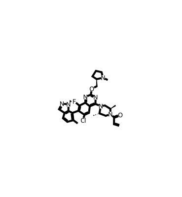 C=CC(=O)N1C[C@H](C)N(c2nc(OC[C@H]3CCCN3C)nc3c(F)c(-c4c(C)ccc5cnn(C)c45)c(Cl)cc23)C[C@H]1C